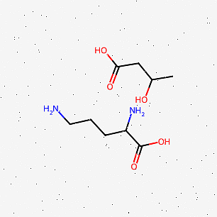 CC(O)CC(=O)O.NCCCC(N)C(=O)O